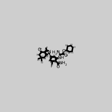 Cc1nn(-c2cc(F)c(C(N)=O)c(NC(N)C(=O)OC3CCCCC3)c2)c2c1C(=O)CC(C)(C)C2